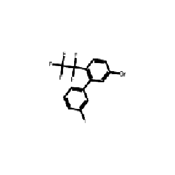 FC(F)(F)C(F)(F)c1c[c]c(Br)cc1-c1cccc(I)c1